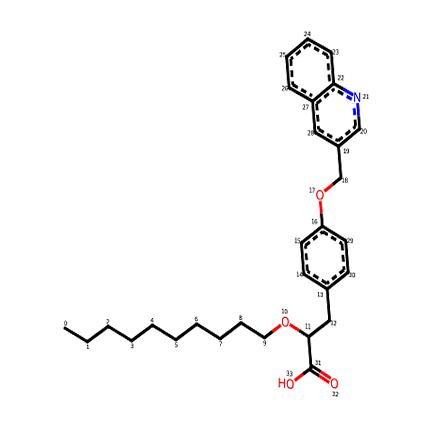 CCCCCCCCCCOC(Cc1ccc(OCc2cnc3ccccc3c2)cc1)C(=O)O